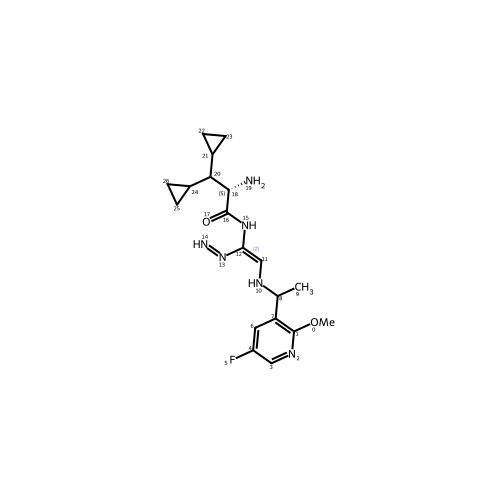 COc1ncc(F)cc1C(C)N/C=C(\N=N)NC(=O)[C@@H](N)C(C1CC1)C1CC1